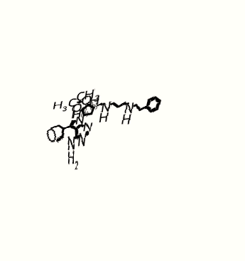 CC1(C)O[C@@H]2[C@@H](CNCCCNCCc3ccccc3)C[C@@H](n3cc(C4CCOCC4)c4c(N)ncnc43)[C@@H]2O1